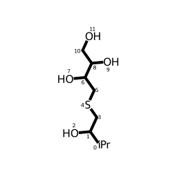 CC(C)C(O)CSCC(O)C(O)CO